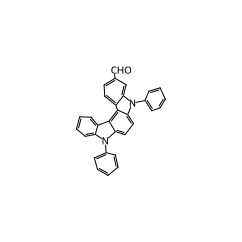 O=Cc1ccc2c3c4c5ccccc5n(-c5ccccc5)c4ccc3n(-c3ccccc3)c2c1